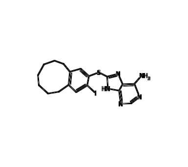 Nc1ncnc2[nH]c(Sc3cc4c(cc3I)CCCCCCC4)nc12